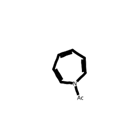 CC(=O)N1C=CC=CC=C1